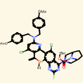 C=C(OCC)c1c(Cl)cc(N(Cc2ccc(OC)cc2)Cc2ccc(OC)cc2)nc1-c1c(Cl)cc2c(N3CC4CCC(C3)N4C(=O)OC(C)(C)C)nc(F)nc2c1F